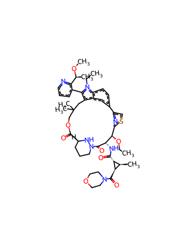 CCO[C@@H]1c2nc(cs2)-c2ccc3c(c2)c(c(-c2cccnc2[C@H](C)OC)n3CC)CC(C)(C)COC(=O)[C@@H]2CCCN(N2)C(=O)[C@H]1NC(=O)[C@@H]1[C@@H](C)[C@H]1C(=O)N1CCOCC1